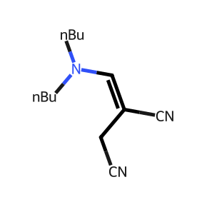 CCCCN(C=C(C#N)CC#N)CCCC